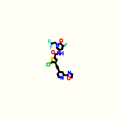 O=C(Nc1cc(F)c(=O)n(CC(F)F)c1)c1cc(C#Cc2ccnc(-c3ncco3)c2)c(Cl)s1